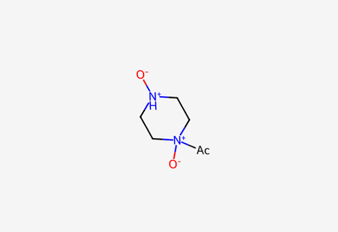 CC(=O)[N+]1([O-])CC[NH+]([O-])CC1